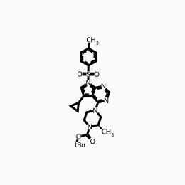 Cc1ccc(S(=O)(=O)n2cc(C3CC3)c3c(N4CCN(C(=O)OC(C)(C)C)[C@H](C)C4)ncnc32)cc1